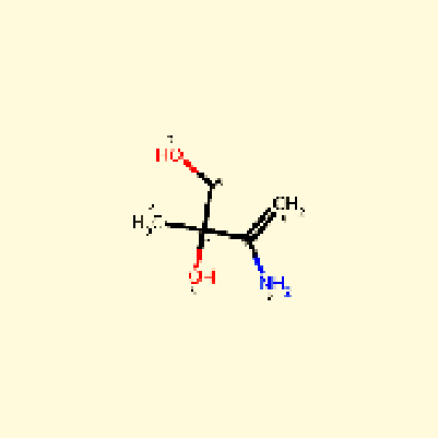 C=C(N)C(C)(O)CO